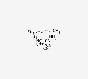 CCN(CC)CCCC(C)N.N#[C][Fe]([C]#N)([C]#N)([C]#N)[C]#N